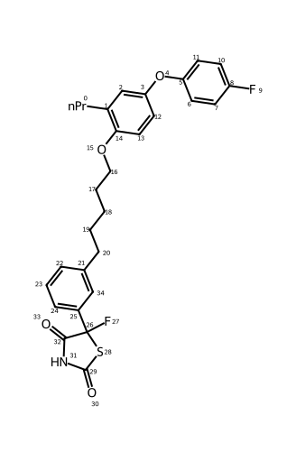 CCCc1cc(Oc2ccc(F)cc2)ccc1OCCCCCc1cccc(C2(F)SC(=O)NC2=O)c1